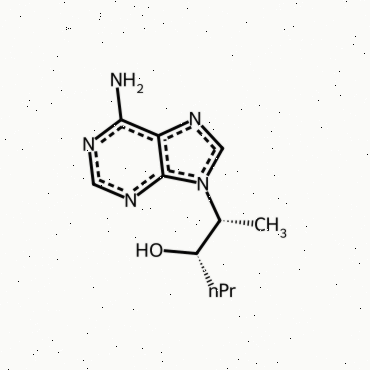 CCC[C@H](O)[C@@H](C)n1cnc2c(N)ncnc21